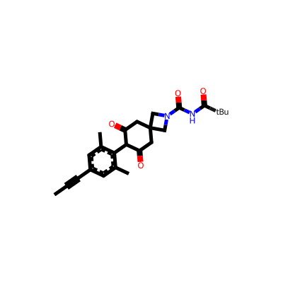 CC#Cc1cc(C)c(C2C(=O)CC3(CC2=O)CN(C(=O)NC(=O)C(C)(C)C)C3)c(C)c1